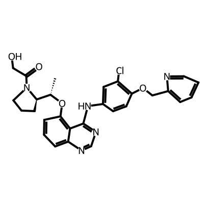 C[C@H](Oc1cccc2ncnc(Nc3ccc(OCc4ccccn4)c(Cl)c3)c12)[C@H]1CCCN1C(=O)CO